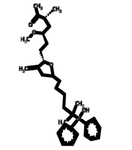 C=C1CC(CCCCC(C)(C)[Si](O)(c2ccccc2)c2ccccc2)O[C@H]1CC[C@H](C[C@@H](C)C(C)=O)OC